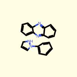 C1=CN(c2ccccc2)NC1.c1ccc2nc3ccccc3nc2c1